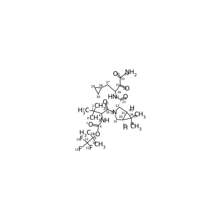 CC(C)(C)C(NC(=O)OC(C)(C)C(F)(F)F)C(=O)N1C[C@H]2[C@@H]([C@H]1C(=O)NC(CC1CC1)C(=O)C(N)=O)C2(C)C